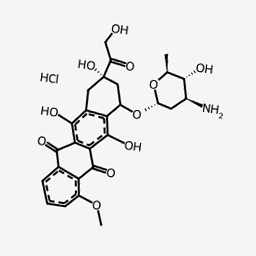 COc1cccc2c1C(=O)c1c(O)c3c(c(O)c1C2=O)C[C@@](O)(C(=O)CO)CC3O[C@H]1C[C@H](N)[C@@H](O)[C@H](C)O1.Cl